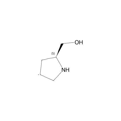 OC[C@@H]1C[CH]CN1